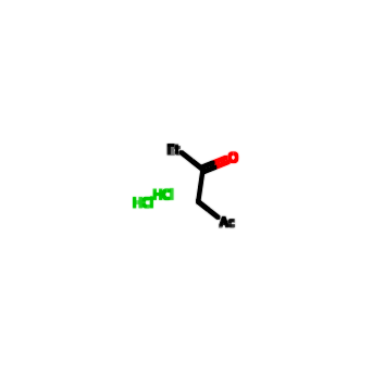 CCC(=O)CC(C)=O.Cl.Cl